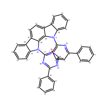 c1ccc(-c2cccc(-n3c4ccccc4c4ccc5c6ccccc6n(-c6ncnc(-c7ccccc7)n6)c5c43)n2)cc1